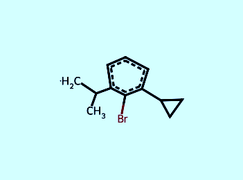 [CH2]C(C)c1cccc(C2CC2)c1Br